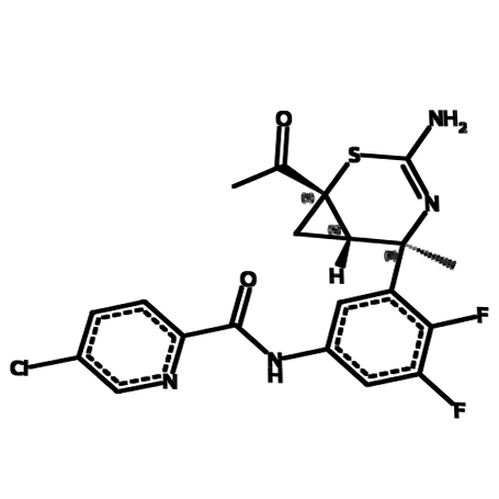 CC(=O)[C@]12C[C@H]1[C@](C)(c1cc(NC(=O)c3ccc(Cl)cn3)cc(F)c1F)N=C(N)S2